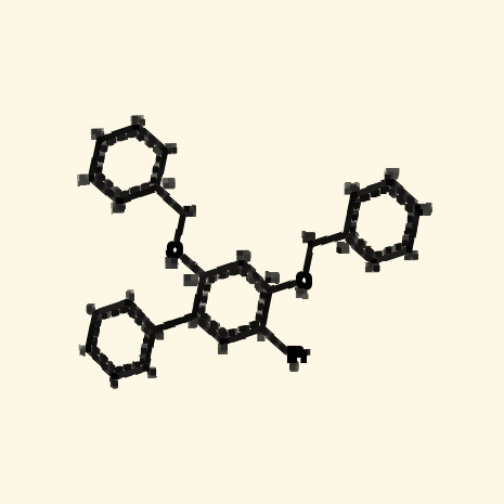 CC(C)c1cc(-c2ccccc2)c(OCc2ccccc2)cc1OCc1ccccc1